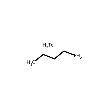 CCCCP.[TeH2]